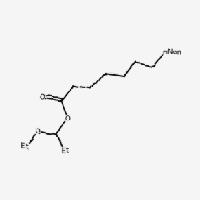 CCCCCCCCCCCCCCCC(=O)OC(CC)OCC